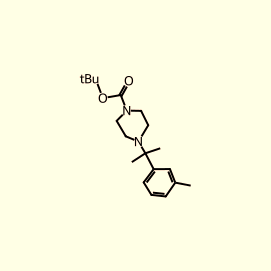 Cc1cccc(C(C)(C)N2CCN(C(=O)OC(C)(C)C)CC2)c1